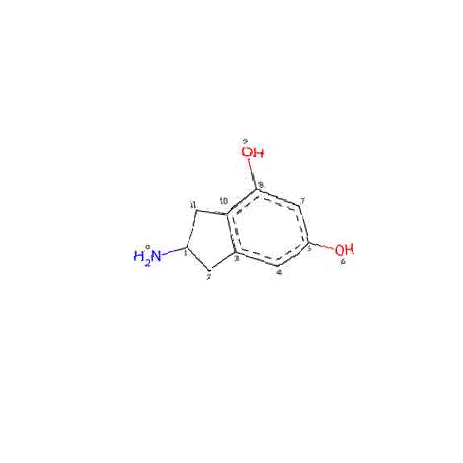 NC1Cc2cc(O)cc(O)c2C1